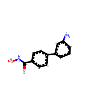 Nc1cccc(-c2ccc(C(=O)NO)cc2)c1